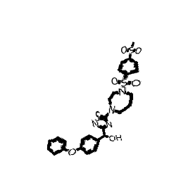 CS(=O)(=O)c1ccc(S(=O)(=O)N2CCCN(c3nc(C(O)c4ccc(Oc5ccccc5)cc4)ns3)CC2)cc1